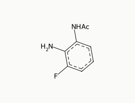 CC(=O)Nc1cccc(F)c1N